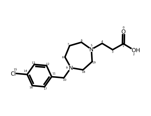 O=C(O)CCN1CCCN(Cc2ccc(Cl)cc2)CC1